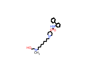 CN(CCO)CCCCCCCCCN1CCC(OC(=O)Nc2ccccc2-c2ccccc2)CC1